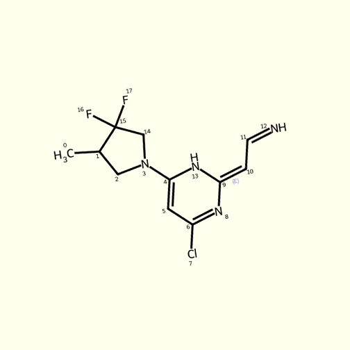 CC1CN(C2=CC(Cl)=N/C(=C/C=N)N2)CC1(F)F